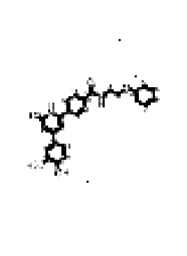 Cc1cc(-c2cc(-c3ccc(C(=O)NCCOc4ccccc4)cc3)[nH]c(=O)n2)ccc1O